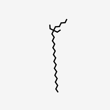 CCCCCCCCCCCCCCCCCCC(CC)(CC)CCCCC